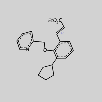 CCOC(=O)/C=C/c1cccc(C2CCCC2)c1OCc1ccccn1